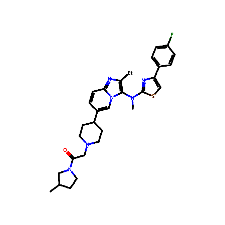 CCc1nc2ccc(C3CCN(CC(=O)N4CCC(C)C4)CC3)cn2c1N(C)c1nc(-c2ccc(F)cc2)cs1